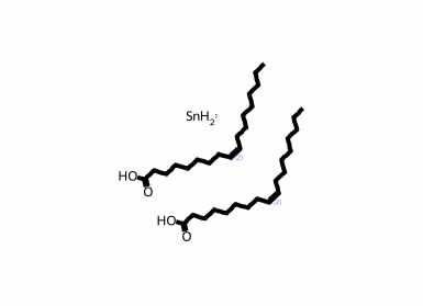 CCCCCCCC/C=C\CCCCCCCC(=O)O.CCCCCCCC/C=C\CCCCCCCC(=O)O.[SnH2]